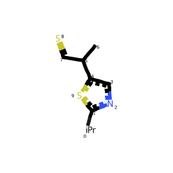 CC(C)c1ncc(C(C)C=S)s1